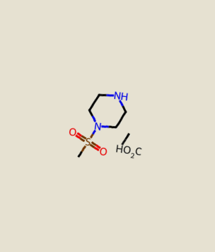 CC(=O)O.CS(=O)(=O)N1CCNCC1